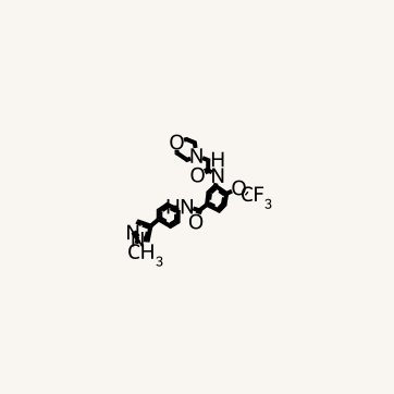 Cn1cc(-c2ccc(NC(=O)c3ccc(OC(F)(F)F)c(NC(=O)CN4CCOCC4)c3)cc2)cn1